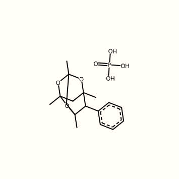 CC12CC3(C)OC(C)(CC(C)(O1)C3c1ccccc1)O2.O=P(O)(O)O